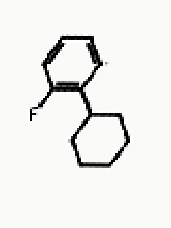 Fc1ccc[c]c1C1CCCCC1